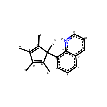 CC1=C(C)[C]([K])(c2cccc3cccnc23)C(C)=C1C